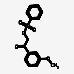 COc1cccc(C(=O)COS(=O)(=O)c2ccccc2)c1